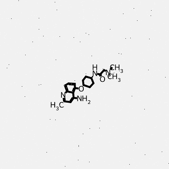 Cc1cc(N)c2c(O[C@H]3CC[C@H](NC(=O)CN(C)C)CC3)cccc2n1